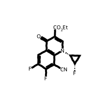 CCOC(=O)c1cn([C@@H]2C[C@@H]2F)c2c(C#N)c(F)c(F)cc2c1=O